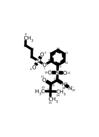 CCCCS(=O)(=O)Oc1ccccc1S(=O)(=O)C(=[N+]=[N-])C(=O)C(C)(C)C